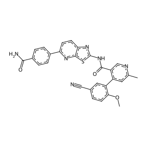 COc1ccc(C#N)cc1-c1cc(C)ncc1C(=O)Nc1nc2ccc(-c3ccc(C(N)=O)cc3)nc2s1